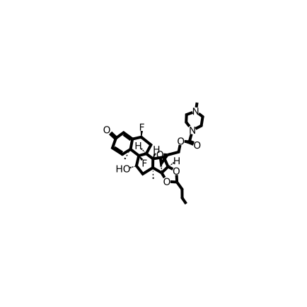 CCCC1O[C@@H]2C[C@H]3[C@@H]4C[C@H](F)C5=CC(=O)C=C[C@]5(C)[C@@]4(F)[C@@H](O)C[C@]3(C)[C@]2(C2OC2COC(=O)N2CCN(C)CC2)O1